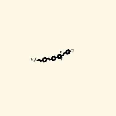 CCCCC1CCC(CCC2CCC(c3cc(F)c(CCc4ccc(Cl)cc4)c(F)c3)CC2)CC1